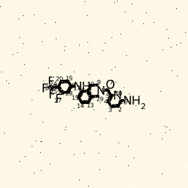 Nc1cccc(C(=O)N2CCc3c(cccc3Nc3ccc(C(F)(F)F)c(F)c3)C2)n1